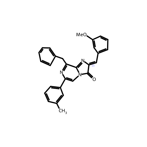 COc1cccc(/C=C2\N=C3C(Cc4ccccc4)=NC(c4cccc(C)c4)=CN3C2=O)c1